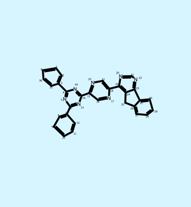 c1ccc(-c2nc(-c3ccccc3)nc(-c3cnc(-c4ncnc5c4Cc4ccccc4-5)cn3)n2)cc1